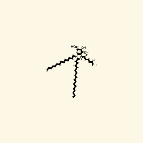 CCCCCCCCCCCCCCCCCC(=O)N(CCCCCCCCCCCCCC)[C@@H]1O[C@H](CO)[C@H](O)[C@H](O)[C@H]1NC(=O)CCCC(=O)O